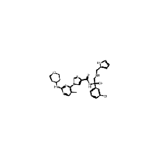 Cc1cnc(NC2CCOCC2)nc1-n1cnc(C(=O)NC(O)(CNCc2ccc[nH]2)c2cccc(Cl)c2)c1